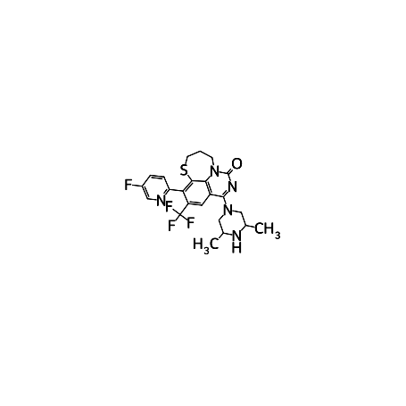 CC1CN(c2nc(=O)n3c4c(c(-c5ccc(F)cn5)c(C(F)(F)F)cc24)SCCC3)CC(C)N1